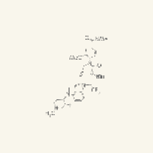 CNC(=O)c1ccc(N(CC#Cc2cc3c(N[C@@H]4CCN(C)C[C@@H]4F)cccc3n2CC(F)(F)F)C(=O)OC(C)(C)C)c(OC)c1